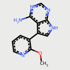 COc1ncccc1-c1c[nH]c2ncnc(N)c12